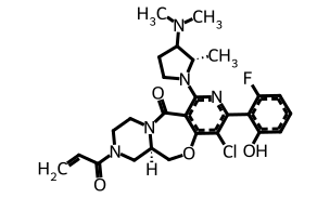 C=CC(=O)N1CCN2C(=O)c3c(N4CCC(N(C)C)[C@@H]4C)nc(-c4c(O)cccc4F)c(Cl)c3OC[C@H]2C1